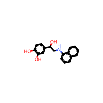 Oc1ccc(C(O)CNc2cccc3ccccc23)cc1O